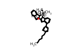 CCCCCCc1ccc(-c2cccc3c2C=C(CC)[CH]3[Zr]([Cl])([Cl])([CH]2C=Cc3ccccc32)[SiH](C)C)cc1